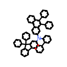 c1ccc(-c2ccccc2N(c2ccc3c(c2)C(c2ccccc2)(c2ccccc2)c2ccccc2-3)c2ccc3c(c2)c(-c2ccccc2)c(-c2ccccc2)c2ccccc23)cc1